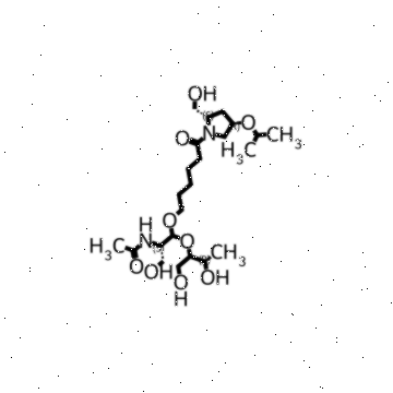 CC(=O)N[C@@H](CO)C(OCCCCCC(=O)N1C[C@H](OC(C)C)C[C@H]1CO)OC(CO)[C@@H](C)O